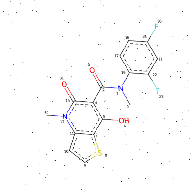 CN(C(=O)c1c(O)c2sccc2n(C)c1=O)c1ccc(F)cc1F